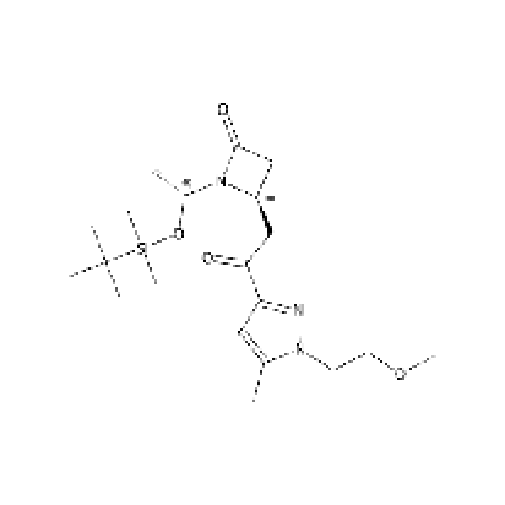 COCCn1nc(C(=O)C[C@@H]2CC(=O)N2[C@@H](C)O[Si](C)(C)C(C)(C)C)cc1C